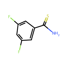 NC(=S)c1cc(F)cc(F)c1